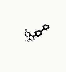 O=C(c1ccc(-c2ccccc2)cc1)C1CNCCN1C(=O)O